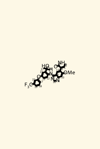 CC=C(C(N)=O)c1cc2c(Nc3ccc(Oc4cccc(C(F)(F)F)c4)cc3C(C)(C)O)ncnc2cc1OC